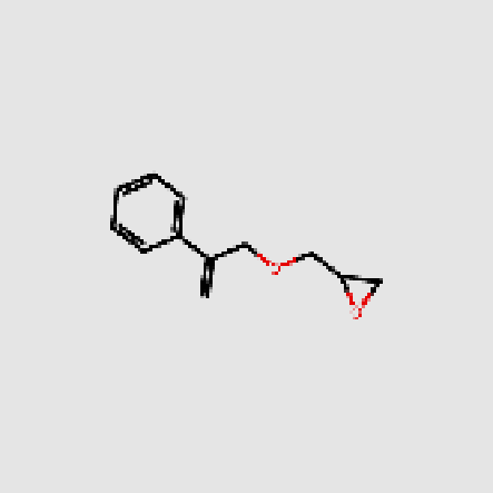 C=C(COCC1CO1)c1ccccc1